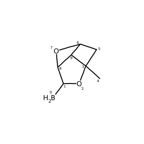 BC1OC2(C)CC3OC1C32